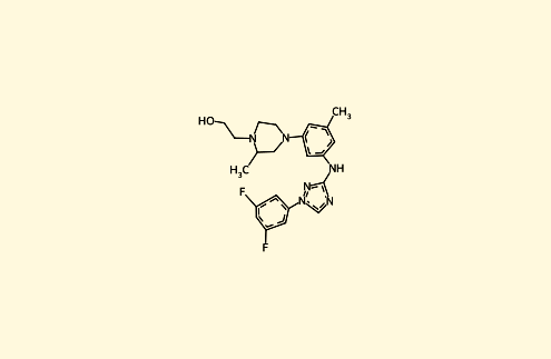 Cc1cc(Nc2ncn(-c3cc(F)cc(F)c3)n2)cc(N2CCN(CCO)C(C)C2)c1